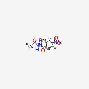 O=C(NNC(=O)C1CC1)c1ccc([N+](=O)[O-])cc1Br